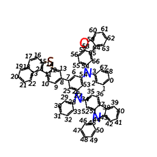 c1ccc(N(c2cc(-c3ccc4c(c3)sc3ccc5ccccc5c34)cc(N(c3ccccc3)c3ccc4c5ccccc5n(-c5ccccc5)c4c3)c2)c2ccc3oc4ccccc4c3c2)cc1